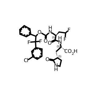 O=C(N[C@@H](CC(F)F)C(=O)N[C@@H](C[C@@H]1CCNC1=O)C(=O)O)OC(c1ccccc1)C(F)(F)c1cccc(Cl)c1